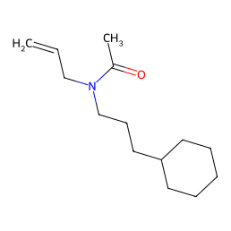 C=CCN(CCCC1CCCCC1)C(C)=O